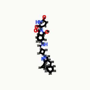 O=C1CCC(N2C(=O)c3ccc(NC[C@H]4C[C@H](n5cc(Cc6ccccc6)c(C6CC6)n5)C4)cc3C2=O)C(=O)N1